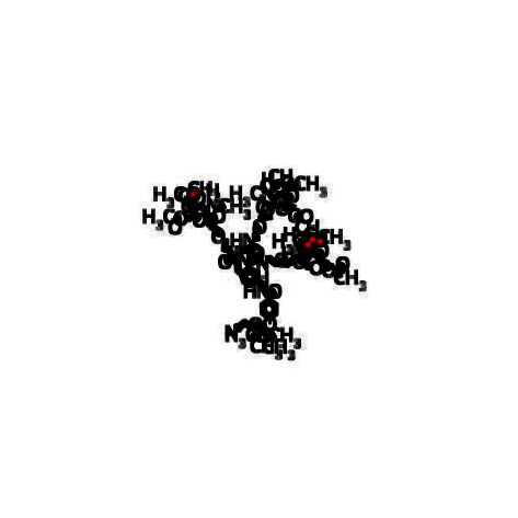 CC(=O)N[C@@H]1C(OCCOCCNC(=O)C(Cc2ccc(CNC(=O)[C@H]3CC[C@@H](OP(OCCC#N)N(C(C)C)C(C)C)CC3)cc2)N(CC(=O)NCCOCCOC2OC(COC(C)=O)C(OC(C)=O)C(OC(C)=O)C2NC(C)O)CC(=O)NCCOCCOC2(NC(C)=O)COC(COC(C)=O)C(OC(C)=O)C2OC(C)=O)OC(COC(C)=O)C(OC(C)=O)C1OC(C)=O